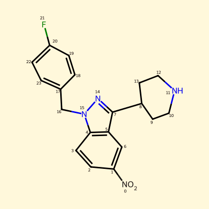 O=[N+]([O-])c1ccc2c(c1)c(C1CCNCC1)nn2Cc1ccc(F)cc1